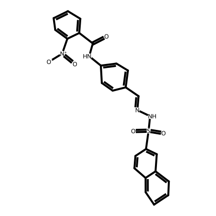 O=C(Nc1ccc(C=NNS(=O)(=O)c2ccc3ccccc3c2)cc1)c1ccccc1[N+](=O)[O-]